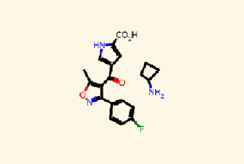 Cc1onc(-c2ccc(F)cc2)c1C(=O)c1c[nH]c(C(=O)O)c1.NC1CCC1